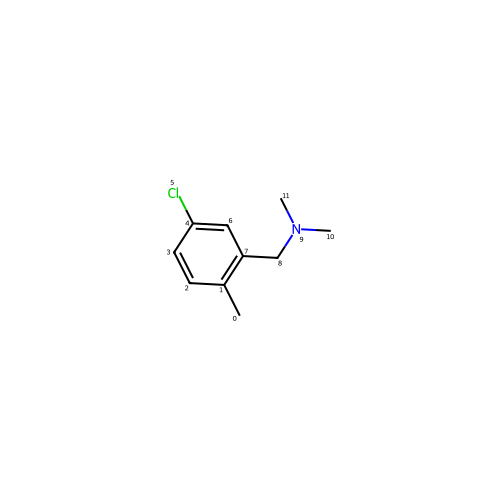 Cc1ccc(Cl)cc1CN(C)C